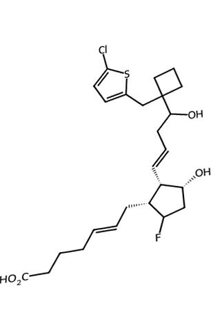 O=C(O)CCCC=CC[C@H]1C(F)C[C@@H](O)[C@H]1C=CCC(O)C1(Cc2ccc(Cl)s2)CCC1